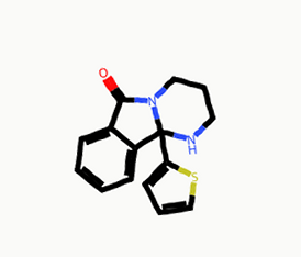 O=C1c2ccccc2C2(c3cccs3)NCCCN12